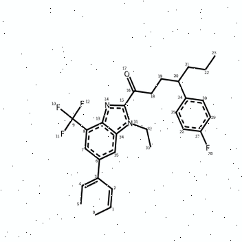 C/C=C\C(=C/C)c1cc(C(F)(F)F)c2nc(C(=O)CCC(CCC)c3ccc(F)cc3)n(CC)c2c1